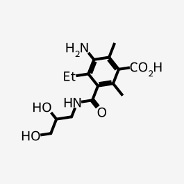 CCc1c(N)c(C)c(C(=O)O)c(C)c1C(=O)NCC(O)CO